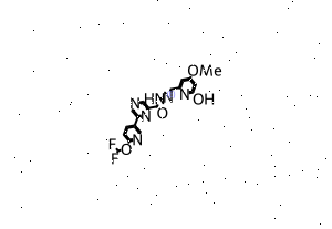 COc1cc(O)nc(/C=N/NC(=O)c2cncc(-c3ccc(OC(F)F)nc3)n2)c1